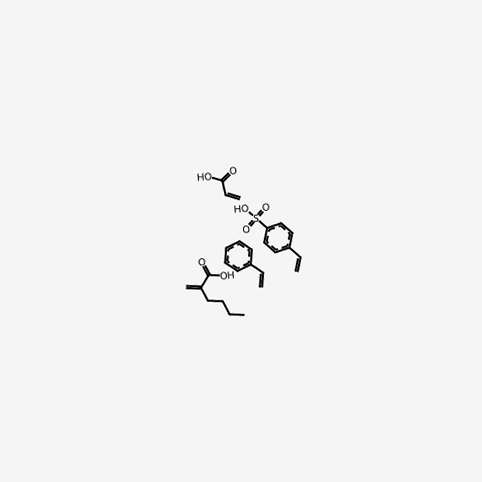 C=C(CCCC)C(=O)O.C=CC(=O)O.C=Cc1ccc(S(=O)(=O)O)cc1.C=Cc1ccccc1